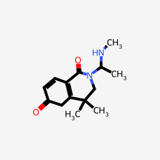 CNC(C)N1CC(C)(C)C2=C(C=CC(=O)C2)C1=O